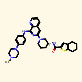 CN1CCN(c2ccc(Nc3nc(N4CCC[C@@H](NC(=O)c5cc6c(s5)CCCC6)C4)cc4cccnc34)cc2)CC1